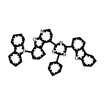 c1ccc(-c2nc(-c3cccc4c3oc3ccccc34)nc(-c3ccnc4oc5c(-n6c7ccccc7c7ccccc76)cccc5c34)n2)cc1